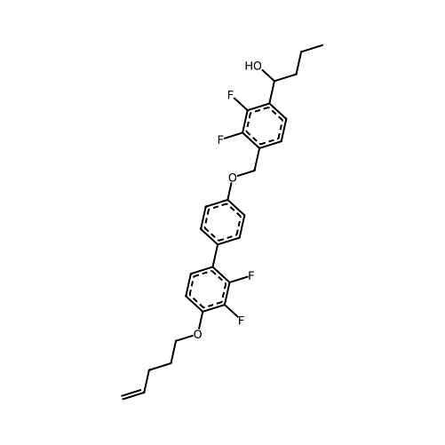 C=CCCCOc1ccc(-c2ccc(OCc3ccc(C(O)CCC)c(F)c3F)cc2)c(F)c1F